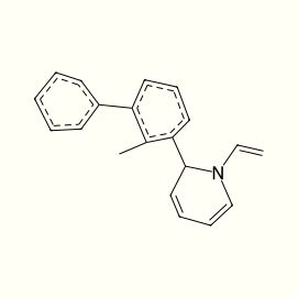 C=CN1C=CC=CC1c1cccc(-c2ccccc2)c1C